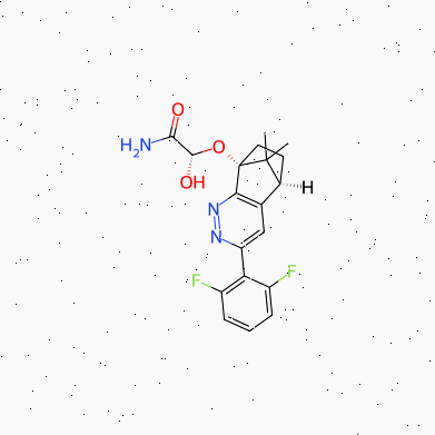 CC1(C)[C@H]2CC[C@]1(O[C@H](O)C(N)=O)c1nnc(-c3c(F)cccc3F)cc12